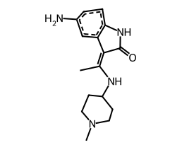 C/C(NC1CCN(C)CC1)=C1/C(=O)Nc2ccc(N)cc21